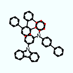 c1ccc(-c2ccc(N(c3cccc(-n4c5ccccc5c5ccccc54)c3)c3ccccc3-c3cccc(-c4ccccc4)c3-c3ccccc3-c3ccccc3)cc2)cc1